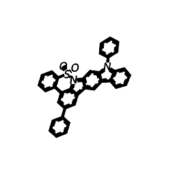 O=S1(=O)c2ccccc2-c2cc(-c3ccccc3)cc3c4cc5c6ccccc6n(-c6ccccc6)c5cc4n1c23